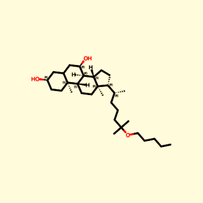 CCCCCOC(C)(C)CCC[C@@H](C)[C@H]1CC[C@H]2[C@@H]3[C@H](O)CC4C[C@H](O)CC[C@]4(C)[C@H]3CC[C@]12C